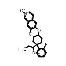 CCC(N)C1(c2ccccc2F)CCC(Oc2cc3cc[n+]([O-])cc3cc2Cl)CC1